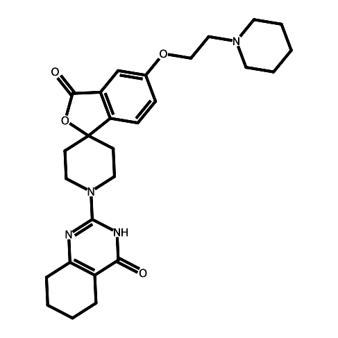 O=C1OC2(CCN(c3nc4c(c(=O)[nH]3)CCCC4)CC2)c2ccc(OCCN3CCCCC3)cc21